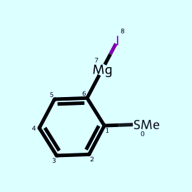 CSc1cccc[c]1[Mg][I]